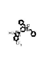 O=C(NCc1ccccc1)C1(Cc2ccccc2)CCN(c2nc(O)c3ccc(C(F)(F)F)cc3n2)CC1